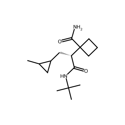 CC1CC1C[C@@H](C(=O)NC(C)(C)C)C1(C(N)=O)CCC1